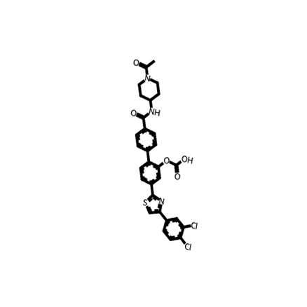 CC(=O)N1CCC(NC(=O)c2ccc(-c3ccc(-c4nc(-c5ccc(Cl)c(Cl)c5)cs4)cc3OC(=O)O)cc2)CC1